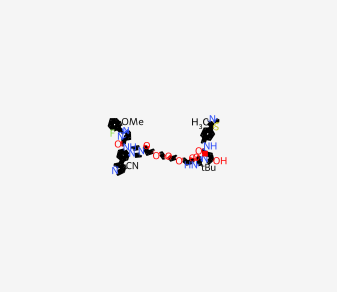 COc1cccc(F)c1-c1nccc(C(=O)Nc2ccc(-c3cnccc3C#N)cc2N2CCN(C(=O)CCOCCOCCOCCC(=O)N[C@H](C(=O)N3C[C@H](O)C[C@H]3C(=O)NCc3ccc(-c4scnc4C)cc3)C(C)(C)C)CC2)n1